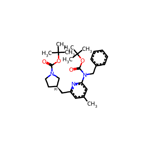 Cc1cc(C[C@H]2CCN(C(=O)OC(C)(C)C)C2)nc(N(Cc2ccccc2)C(=O)OC(C)(C)C)c1